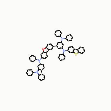 c1ccc(N(c2ccccc2)c2cc(-c3ccc4oc5cc(N(c6ccccc6)c6ccc7c8ccccc8n(-c8ccccc8)c7c6)ccc5c4c3)cc(N(c3ccccc3)c3ccc4c(c3)sc3ccccc34)c2)cc1